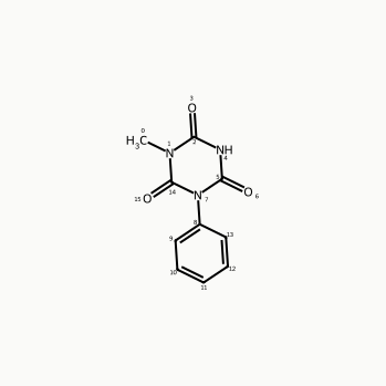 Cn1c(=O)[nH]c(=O)n(-c2ccccc2)c1=O